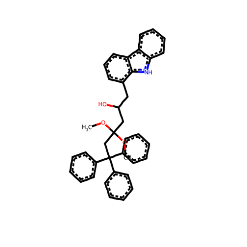 COC(CC(O)Cc1cccc2c1[nH]c1ccccc12)(CC(c1ccccc1)(c1ccccc1)c1ccccc1)OC